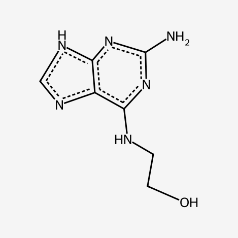 Nc1nc(NCCO)c2nc[nH]c2n1